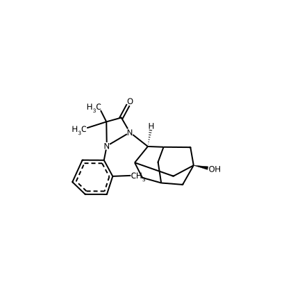 Cc1ccccc1N1N([C@H]2C3CC4CC2C[C@@](O)(C4)C3)C(=O)C1(C)C